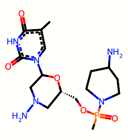 Cc1cn(C2CN(N)C[C@@H](COP(C)(=O)N3CCC(N)CC3)O2)c(=O)[nH]c1=O